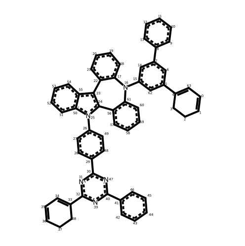 C1=CCCC(c2cc(-c3ccccc3)cc(N3c4ccccc4-c4c(n(-c5ccc(-c6nc(C7=CC=CCC7)nc(-c7ccccc7)n6)cc5)c5ccccc45)-c4ccccc43)c2)=C1